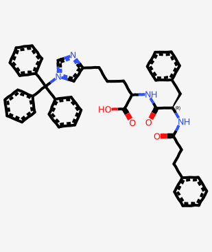 O=C(CCc1ccccc1)N[C@H](Cc1ccccc1)C(=O)NC(CCCc1cn(C(c2ccccc2)(c2ccccc2)c2ccccc2)cn1)C(=O)O